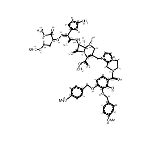 BOC(=O)C1=C(Cn2cc[n+]3c2CN(C(=O)c2ccc(OCc4ccc(OC)cc4)c(OCc4ccc(OC)cc4)c2Cl)CC3)C[S+]([O-])[C@@H]2[C@H](NC(=O)/C(=N\O[C@@H](CBOC=O)C(=O)OB)c3csc(C)n3)C(=O)N12